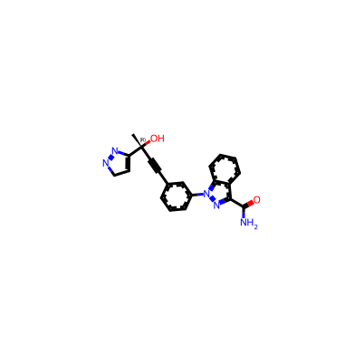 C[C@@](O)(C#Cc1cccc(-n2nc(C(N)=O)c3ccccc32)c1)C1=CCN=N1